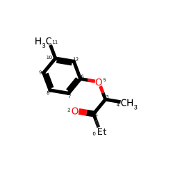 CCC(=O)C(C)Oc1cccc(C)c1